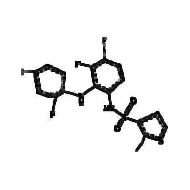 Cc1sccc1S(=O)(=O)Nc1ccc(F)c(F)c1Nc1ccc(I)cc1F